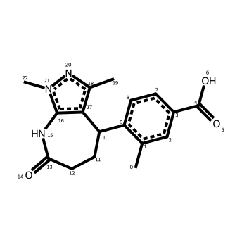 Cc1cc(C(=O)O)ccc1C1CCC(=O)Nc2c1c(C)nn2C